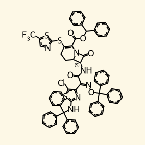 O=C(N[C@@H]1C(=O)N2C(C(=O)OC(c3ccccc3)c3ccccc3)=C(Sc3ncc(C(F)(F)F)s3)CCC12)C(=NOC(c1ccccc1)(c1ccccc1)c1ccccc1)c1nc(NC(c2ccccc2)(c2ccccc2)c2ccccc2)sc1Cl